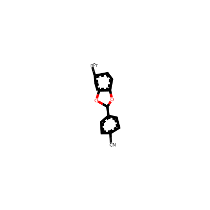 CCCc1ccc2c(c1)OC(c1ccc(C#N)cc1)O2